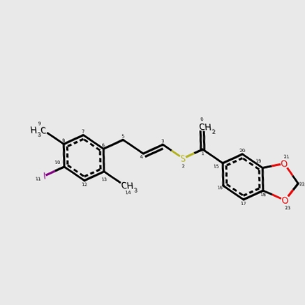 C=C(S/C=C/Cc1cc(C)c(I)cc1C)c1ccc2c(c1)OCO2